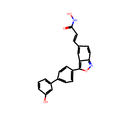 O=C(/C=C/c1ccc2noc(-c3ccc(-c4cccc(O)c4)cc3)c2c1)NO